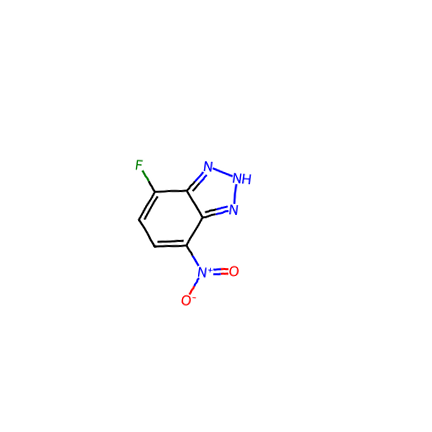 O=[N+]([O-])c1ccc(F)c2n[nH]nc12